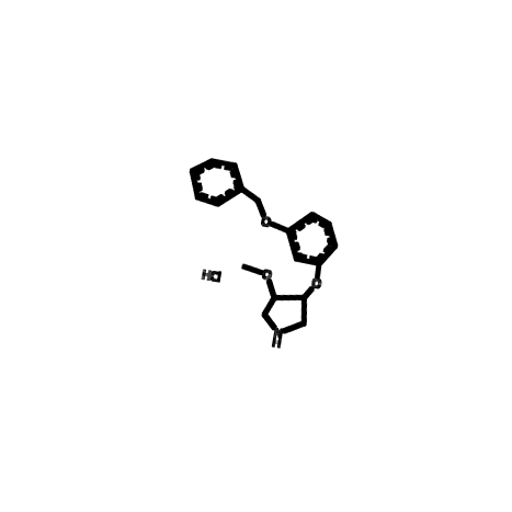 COC1CNCC1Oc1cccc(OCc2ccccc2)c1.Cl